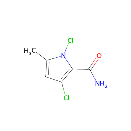 Cc1cc(Cl)c(C(N)=O)n1Cl